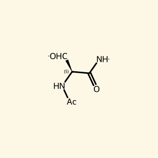 CC(=O)N[C@@H]([C]=O)C([NH])=O